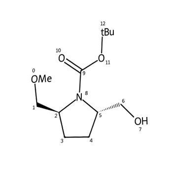 COC[C@@H]1CC[C@@H](CO)N1C(=O)OC(C)(C)C